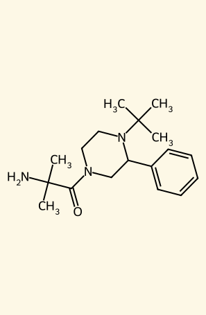 CC(C)(N)C(=O)N1CCN(C(C)(C)C)C(c2ccccc2)C1